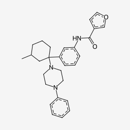 CC1CCCC(c2cccc(NC(=O)c3ccoc3)c2)(N2CCN(c3ccccc3)CC2)C1